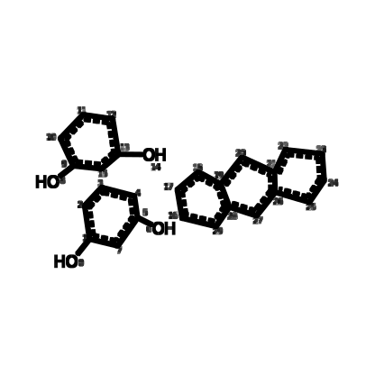 Oc1cccc(O)c1.Oc1cccc(O)c1.c1ccc2cc3ccccc3cc2c1